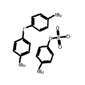 CC(C)(C)c1ccc(OS(=O)(=O)[O-])cc1.CC(C)(C)c1ccc([I+]c2ccc(C(C)(C)C)cc2)cc1